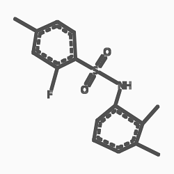 Cc1ccc(S(=O)(=O)Nc2cccc(C)c2C)c(F)c1